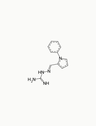 N=C(N)NN=Cc1cccn1-c1ccccc1